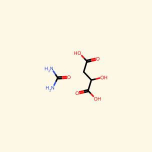 NC(N)=O.O=C(O)CC(O)C(=O)O